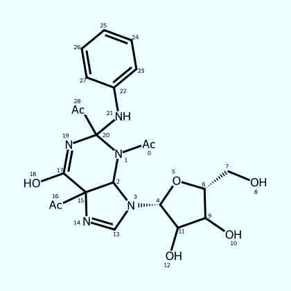 CC(=O)N1C2N([C@@H]3O[C@H](CO)C(O)C3O)C=NC2(C(C)=O)C(O)=NC1(Nc1ccccc1)C(C)=O